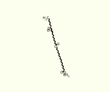 CCCCCCC(CC=CCCCCCCCC(=O)OCCCCCCCCCCCCCCCC(=O)OC)OC